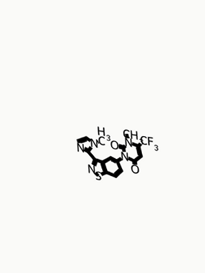 Cn1ccnc1-c1nsc2ccc(-n3c(=O)cc(C(F)(F)F)n(C)c3=O)cc12